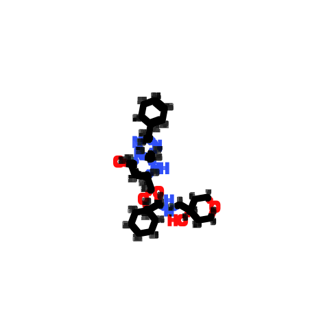 O=C(NCC1(O)CCOCC1)C1(OCc2cc(=O)n3nc(C4=CC=CCC4)nc3[nH]2)CCCCC1